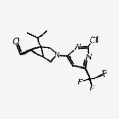 CC(C)C12CN(c3cc(C(F)(F)F)nc(Cl)n3)CC1C2C=O